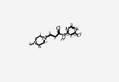 CN1CCN(CCC(=O)Nc2cc(Cl)ncn2)CC1